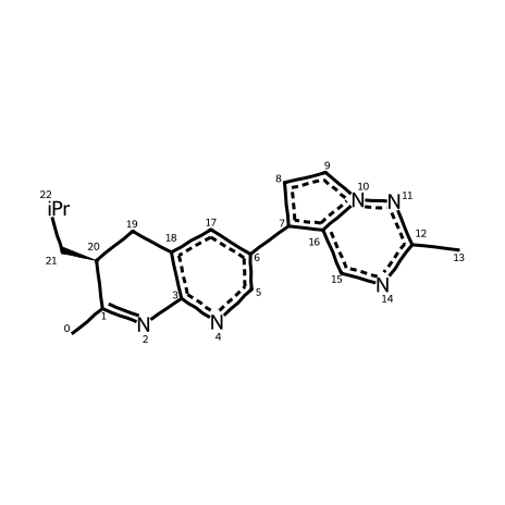 CC1=Nc2ncc(-c3ccn4nc(C)ncc34)cc2C[C@@H]1CC(C)C